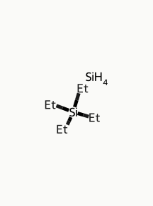 CC[Si](CC)(CC)CC.[SiH4]